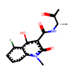 CC(=O)[C@H](C)NC(=O)c1c(O)c2c(F)cccc2n(C)c1=O